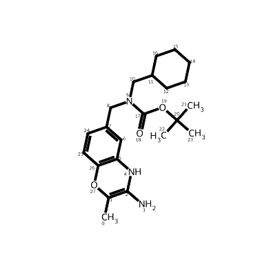 CC1=C(N)Nc2cc(CN(CC3CCCCC3)C(=O)OC(C)(C)C)ccc2O1